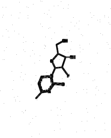 Cc1ccn(C2OC(CO)C(O)C2F)c(=O)n1